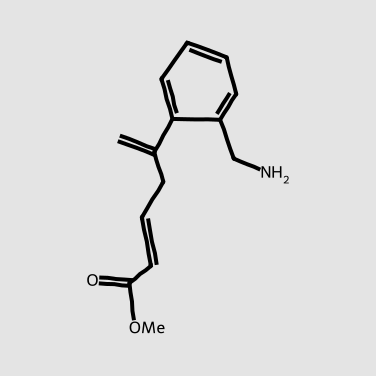 C=C(CC=CC(=O)OC)c1ccccc1CN